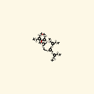 CC(C)(C)OC(=O)c1cc(OCc2cc(COc3cc(C(=O)OC(C)(C)C)cc(C(=O)OC(C)(C)C)c3)cc(OC/C=C\COc3cc(COc4cc(C(=O)OC(C)(C)C)cc(C(=O)OC(C)(C)C)c4)cc(COc4cc(C(=O)OC(C)(C)C)cc(C(=O)OC(C)(C)C)c4)c3)c2)cc(C(=O)OC(C)(C)C)c1